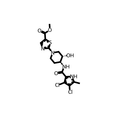 COC(=O)c1cnc(N2CC[C@H](NC(=O)c3[nH]c(C)c(Cl)c3Cl)[C@@H](O)C2)s1